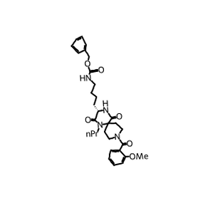 CCCN1C(=O)[C@H](CCCCNC(=O)OCc2ccccc2)NC(=O)C12CCN(C(=O)c1ccccc1OC)CC2